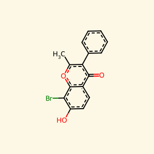 Cc1oc2c(Br)c(O)ccc2c(=O)c1-c1ccccc1